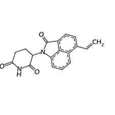 C=Cc1ccc2c3c(cccc13)N(C1CCC(=O)NC1=O)C2=O